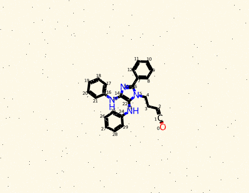 O=C=CCCn1c(-c2ccccc2)nc(Nc2ccccc2)c1Nc1ccccc1